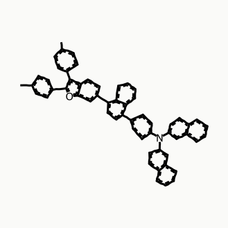 Cc1ccc(-c2oc3cc(-c4ccc(-c5ccc(N(c6ccc7ccccc7c6)c6ccc7ccccc7c6)cc5)c5ccccc45)ccc3c2-c2ccc(C)cc2)cc1